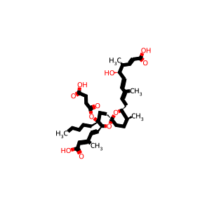 CCCCC[C@@]1(OC(=O)CCC(=O)O)CC[C@]2(CC[C@H](C)[C@@H](C/C=C(C)/C=C/[C@H](O)[C@@H](C)/C=C/C(=O)O)O2)O[C@H]1/C=C/C(C)=C/C(=O)O